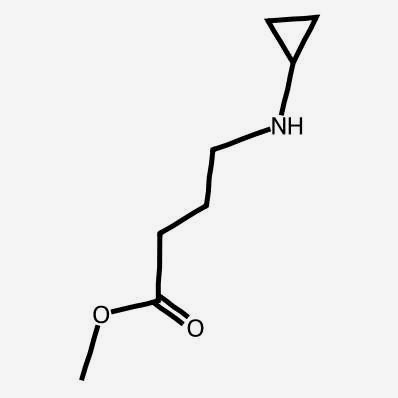 COC(=O)CCCNC1CC1